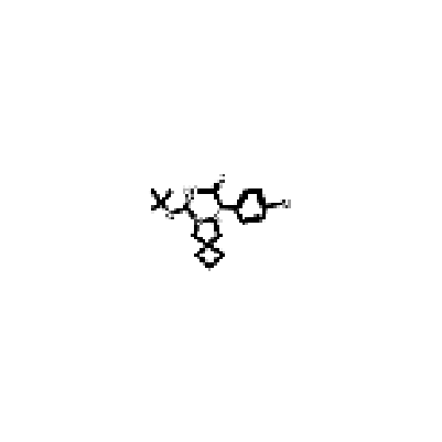 CC(C)(C)OC(=O)N1CC2(CCC2)C[C@H]1C(C(=O)O)c1ccc(Cl)cc1